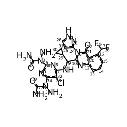 NC(=O)N(N)c1nc(N[C@H](c2nc3cccc(C(F)F)c3c(=O)n2-c2cc[nH]n2)C2CC2)c(Cl)c(N(N)C(N)=O)n1